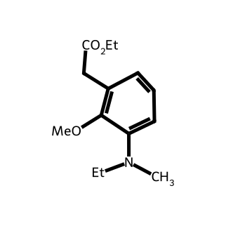 CCOC(=O)Cc1cccc(N(C)CC)c1OC